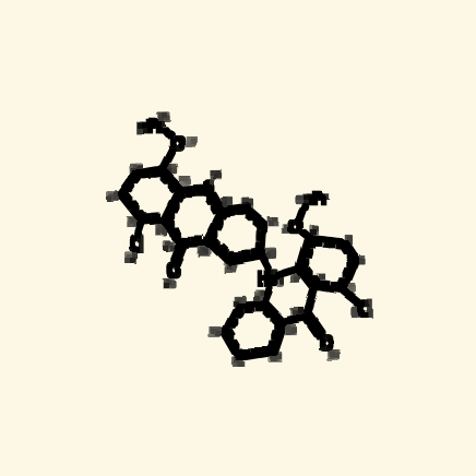 CCCOc1ccc(Cl)c2c1[SH](c1ccc3sc4c(OCCC)ccc(Cl)c4c(=O)c3c1)c1ccccc1C2=O